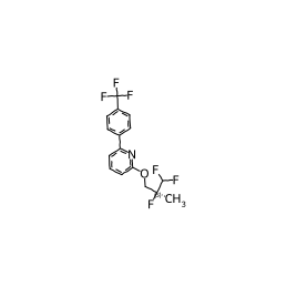 C[C@](F)(COc1cccc(-c2ccc(C(F)(F)F)cc2)n1)C(F)F